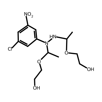 CC(NN(c1cc(Cl)cc([N+](=O)[O-])c1)C(C)OCCO)OCCO